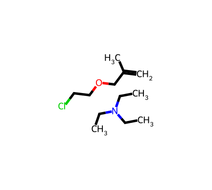 C=C(C)COCCCl.CCN(CC)CC